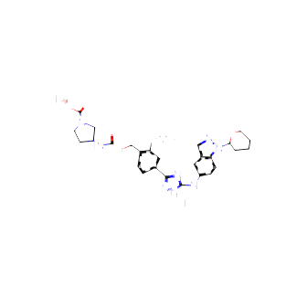 COc1cc(-c2nc(Nc3ccc4c(cnn4C4CCCCO4)c3)n(C)n2)ccc1COC(=O)NC1CCN(C(=O)OC(C)(C)C)C1